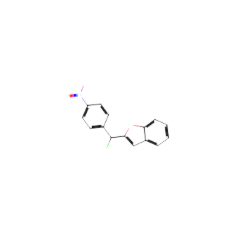 O=[N+]([O-])c1ccc(C(Cl)c2cc3ccccc3o2)cc1